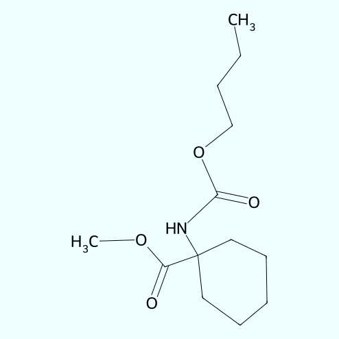 CCCCOC(=O)NC1(C(=O)OC)CCCCC1